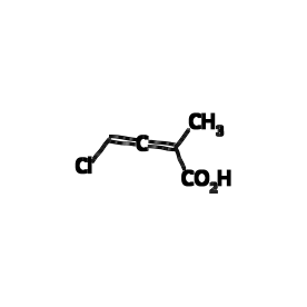 CC(=C=CCl)C(=O)O